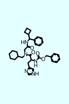 O=C(CN(CC1CCCCC1)C(=O)C(Cc1c[nH]cn1)NC(=O)OCc1ccccc1)NC(c1ccccc1)C1CCC1